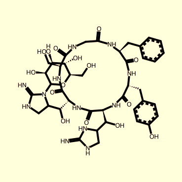 N=C1NCC(C(O)[C@@H]2NC(=O)[C@@H](Cc3ccc(O)cc3)NC(=O)[C@H](Cc3ccccc3)NC(=O)CNC(=O)[C@H](CO)NC(=O)[C@@H](C(O)C3CNC(=N)N3C3O[C@H](CO)[C@@H](O)[C@H](O)[C@@H]3O)NC2=O)N1